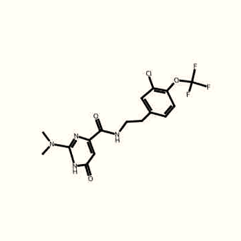 CN(C)c1nc(C(=O)NCCc2ccc(OC(F)(F)F)c(Cl)c2)cc(=O)[nH]1